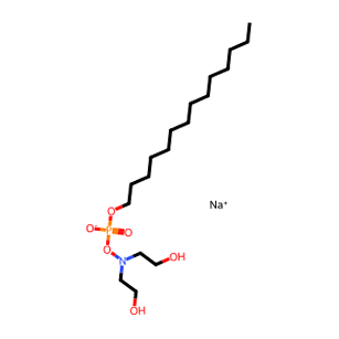 CCCCCCCCCCCCCCOP(=O)([O-])ON(CCO)CCO.[Na+]